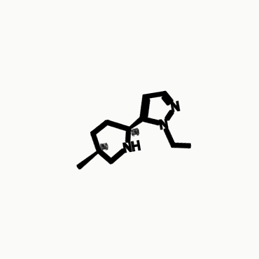 CCn1nccc1[C@@H]1CC[C@H](C)CN1